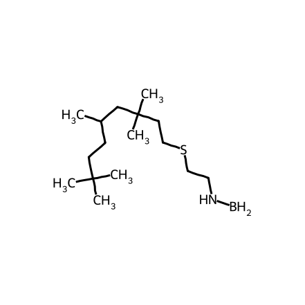 BNCCSCCC(C)(C)CC(C)CCC(C)(C)C